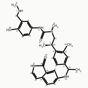 CNCc1cc(NC(=O)N(C)C[C@H](C)c2ccc(C(C)Nc3ccc4cc[nH]c(=O)c4c3)cc2C)ccc1O